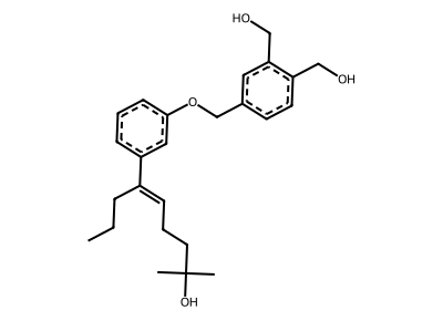 CCCC(=CCCC(C)(C)O)c1cccc(OCc2ccc(CO)c(CO)c2)c1